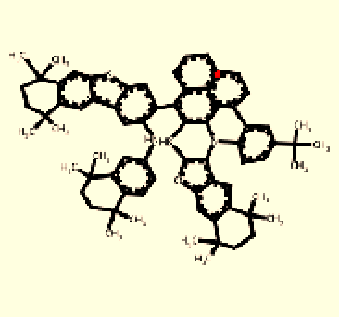 CC(C)(C)c1ccc(N2c3cc4ccccc4c(-c4cc5sc6cc7c(cc6c5cc4Nc4ccc5c(c4)C(C)(C)CCC5(C)C)C(C)(C)CCC7(C)C)c3Bc3oc4cc5c(cc4c32)C(C)(C)CCC5(C)C)c(-c2ccccc2)c1